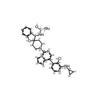 CC(C)(C)[S@@+]([O-])N[C@@H]1c2ccccc2OC12CCN(c1ncc(-c3ccnc(NC4CC4)c3Cl)c3nccn13)CC2